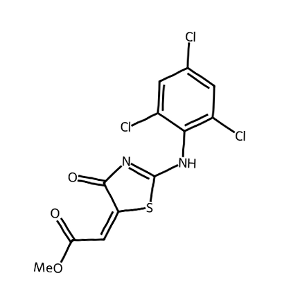 COC(=O)C=C1SC(Nc2c(Cl)cc(Cl)cc2Cl)=NC1=O